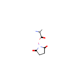 CC(N)C(=O)ON1C(=O)CCC1=O